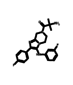 CC(C)(N)C(=O)N1CCn2c(nc(-c3ccc(F)cc3)c2Nc2cccc(F)c2)C1